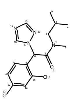 CC(C)CN(C)C(=O)C(c1ccc(Cl)cc1Cl)n1cncn1